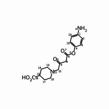 Nc1ccc(OC(=O)CC(=O)CN2CCC(C(=O)O)CC2)cc1